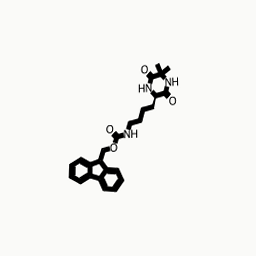 CC1(C)NC(=O)[C@@H](CCCCNC(=O)OCC2c3ccccc3-c3ccccc32)NC1=O